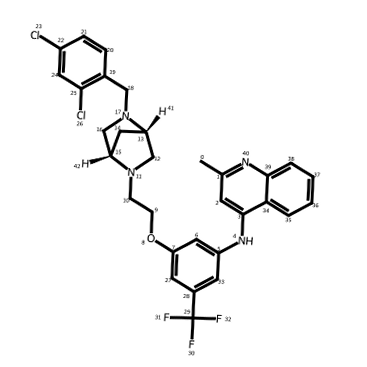 Cc1cc(Nc2cc(OCCN3C[C@@H]4C[C@H]3CN4Cc3ccc(Cl)cc3Cl)cc(C(F)(F)F)c2)c2ccccc2n1